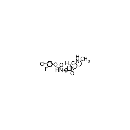 CC1CCC(CNC(=O)C23CC(NC(=O)COc4ccc(Cl)c(F)c4)(C2)C3)C(C)N1